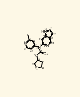 Cc1cc(N(C(=O)OC2CCOC2)c2cc3[nH]ccc3cn2)ccn1